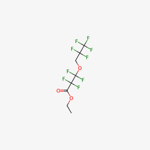 CCOC(=O)C(F)(F)C(F)(F)OCC(F)(F)C(F)(F)F